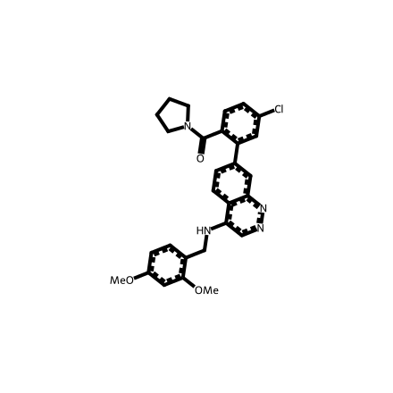 COc1ccc(CNc2cnnc3cc(-c4cc(Cl)ccc4C(=O)N4CCCC4)ccc23)c(OC)c1